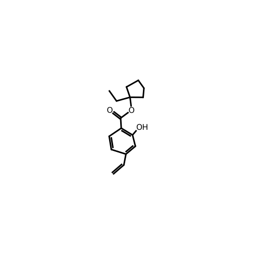 C=Cc1ccc(C(=O)OC2(CC)CCCC2)c(O)c1